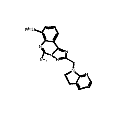 COc1cccc2c1nc(N)n1nc(CN3CCc4cccnc43)nc21